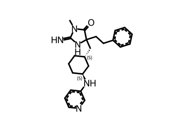 CN1C(=N)NC(CCc2ccccc2)(C[C@H]2CCC[C@H](Nc3cccnc3)C2)C1=O